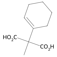 CC(C(=O)O)(C(=O)O)C1=CCCCC1